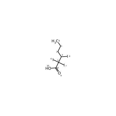 CCCC(I)C(I)(I)C(=O)O